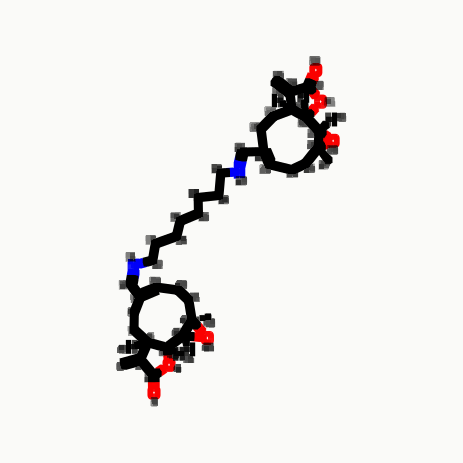 C=C1C(=O)O[C@H]2[C@H]1CCC(/C=N\CCCCCCCC/N=C/C1=C/CC[C@@]3(C)O[C@H]3[C@H]3OC(=O)C(=C)[C@@H]3CC1)=C\CC[C@@]1(C)O[C@@H]21